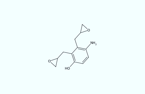 Nc1ccc(O)c(CC2CO2)c1CC1CO1